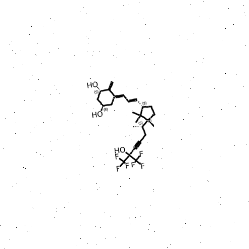 C=C1C(=CC=C[C@@H]2CC[C@](C)([C@@H](C)CC#CC(O)(C(F)(F)F)C(F)(F)F)C2(C)C)C[C@@H](O)C[C@@H]1O